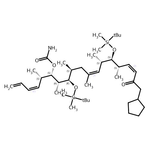 C=C/C=C\[C@H](C)[C@H](OC(N)=O)[C@@H](C)[C@H](O[Si](C)(C)C(C)(C)C)[C@@H](C)C/C(C)=C\[C@H](C)[C@@H](O[Si](C)(C)C(C)(C)C)[C@@H](C)/C=C\C(=O)CC1CCCC1